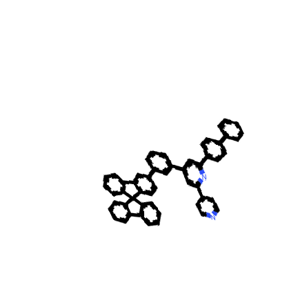 c1ccc(-c2ccc(-c3cc(-c4cccc(-c5ccc6c(c5)-c5ccccc5C65c6ccccc6-c6ccccc65)c4)cc(-c4ccncc4)n3)cc2)cc1